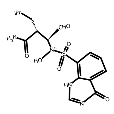 CC(C)C[C@@H](C(N)=O)[C@@H](C=O)[N+](O)S(=O)(=O)c1cccc2c(=O)nc[nH]c12